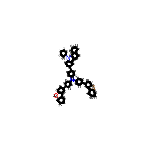 c1ccc(-n2c3ccc(-c4ccc(N(c5ccc(-c6ccc7oc8ccccc8c7c6)cc5)c5ccc(-c6ccc7sc8ccccc8c7c6)cc5)cc4)cc3c3ccc4ccccc4c32)cc1